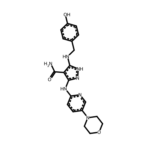 NC(=O)c1c(Nc2ccc(N3CCOCC3)cn2)n[nH]c1NCc1ccc(O)cc1